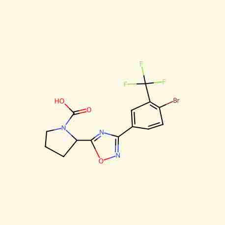 O=C(O)N1CCCC1c1nc(-c2ccc(Br)c(C(F)(F)F)c2)no1